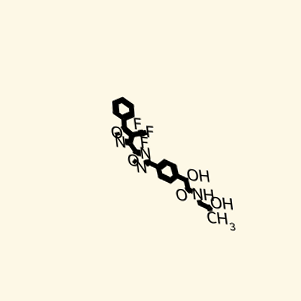 CC(O)CNC(=O)[C@@H](O)c1ccc(-c2noc(-c3noc(-c4ccccc4)c3C(F)(F)F)n2)cc1